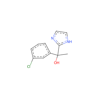 CC(O)(c1cccc(Cl)c1)c1ncc[nH]1